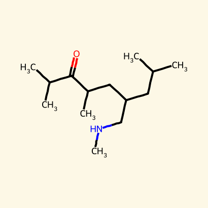 CNCC(CC(C)C)CC(C)C(=O)C(C)C